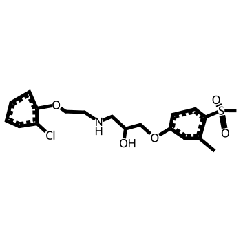 Cc1cc(OCC(O)CNCCOc2ccccc2Cl)ccc1S(C)(=O)=O